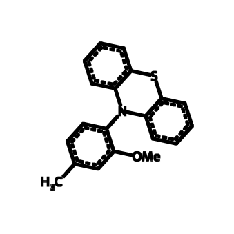 COc1cc(C)ccc1N1c2ccccc2Sc2ccccc21